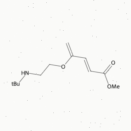 C=C(/C=C/C(=O)OC)OCCNC(C)(C)C